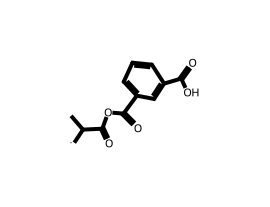 [CH2]C(C)C(=O)OC(=O)c1cccc(C(=O)O)c1